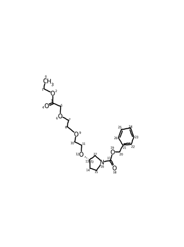 CCOC(=O)COCCOCCO[C@H]1CCN(C(=O)OCc2ccccc2)C1